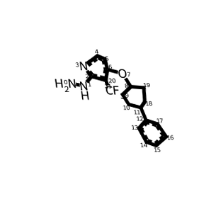 NNc1nccc(OC2CCC(c3ccccc3)CC2)c1C(F)(F)F